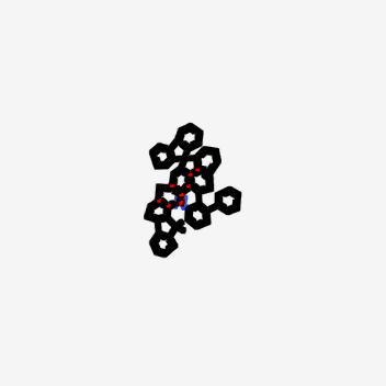 CC1(C)c2ccccc2-c2cccc(N(c3ccc4c(c3)-c3ccccc3C43c4ccccc4-c4ccccc43)c3cccc(-c4ccccc4)c3-c3ccccc3-c3ccccc3)c21